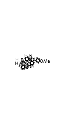 COc1ccc(C(CC(N)=O)c2ccc(N/C(=N/C3CCCCC3)N(CCN(C)C)Cc3ccccc3)cc2)cc1